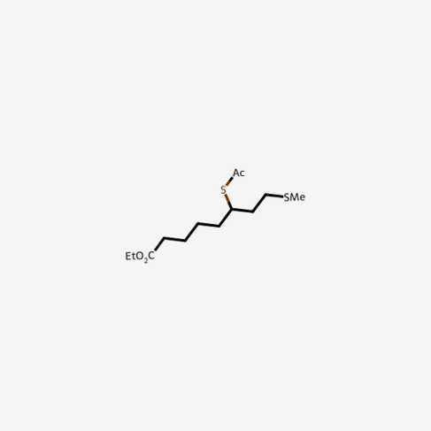 CCOC(=O)CCCCC(CCSC)SC(C)=O